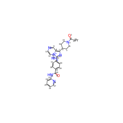 CC(C)C(=O)N1CCC(C2=C3C=NC=C[N+]3(N)C(c3ccc(C(=O)Nc4ccccn4)cc3)=N2)CC1